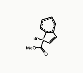 COC(=O)S1(Br)C=Cc2ccccc21